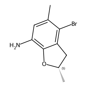 Cc1cc(N)c2c(c1Br)C[C@H](C)O2